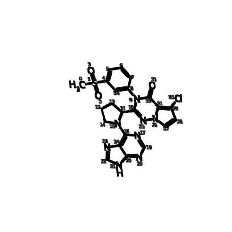 CS(=O)(=O)c1cccc(-n2c([C@@H]3CCCN3c3ncnc4[nH]cnc34)nn3ccc(Cl)c3c2=O)c1